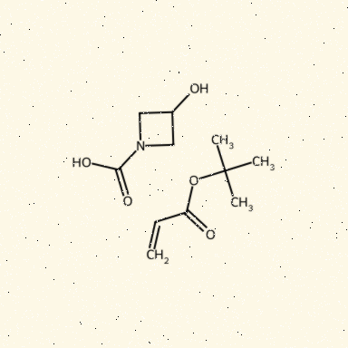 C=CC(=O)OC(C)(C)C.O=C(O)N1CC(O)C1